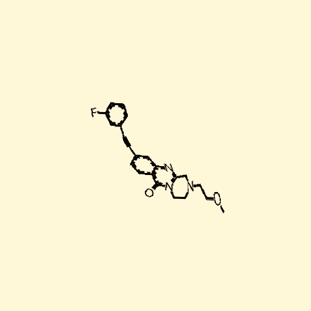 COCCN1CCn2c(nc3cc(C#Cc4cccc(F)c4)ccc3c2=O)C1